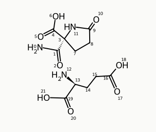 NC(=O)[C@@]1(C(=O)O)CCC(=O)N1.N[C@@H](CCC(=O)O)C(=O)O